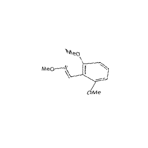 CO/N=C/c1c(OC)cccc1OC